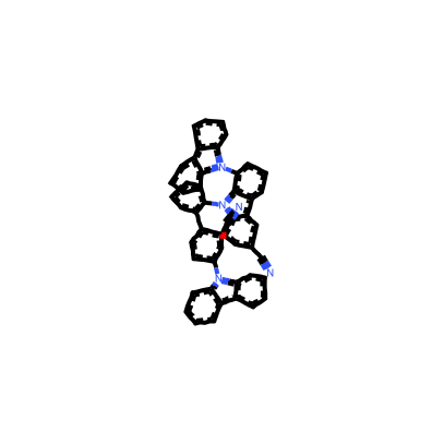 N#Cc1ccc2c(c1)c1cccc(-n3c4ccccc4c4ccccc43)c1n2-c1ccccc1-c1ccc(-n2c3ccccc3c3ccccc32)cc1C#N